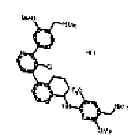 CNCc1ccc(-c2nccc(-c3cccc4c3CCCC4Nc3nc(OC)c(CNC)cc3C(F)(F)F)c2Cl)cc1OC.Cl